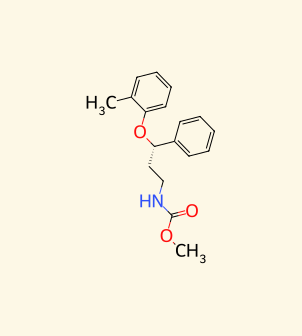 COC(=O)NCC[C@H](Oc1ccccc1C)c1ccccc1